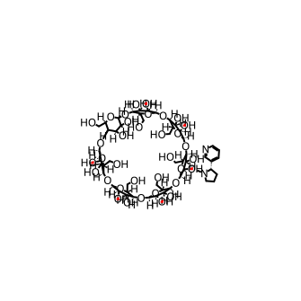 CN1CCC[C@H]1c1cccnc1.OC[C@H]1O[C@@H]2O[C@H]3[C@H](O)[C@@H](O)[C@@H](O[C@H]4[C@H](O)[C@@H](O)[C@@H](O[C@H]5[C@H](O)[C@@H](O)[C@@H](O[C@H]6[C@H](O)[C@@H](O)[C@@H](O[C@H]7[C@H](O)[C@@H](O)[C@@H](O[C@H]8[C@H](O)[C@@H](O)[C@@H](O[C@H]1[C@H](O)[C@H]2O)O[C@@H]8CO)O[C@@H]7CO)O[C@@H]6CO)O[C@@H]5CO)O[C@@H]4CO)O[C@@H]3CO